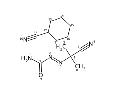 CC(C)(C#N)/N=N/C(N)=O.N#CC1CCCCC1